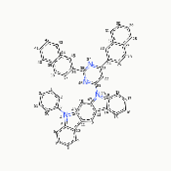 c1ccc(-n2c3ccccc3c3cc4c5ccccc5n(-c5cc(-c6ccc7ccccc7c6)nc(-c6ccc7ccccc7c6)n5)c4cc32)cc1